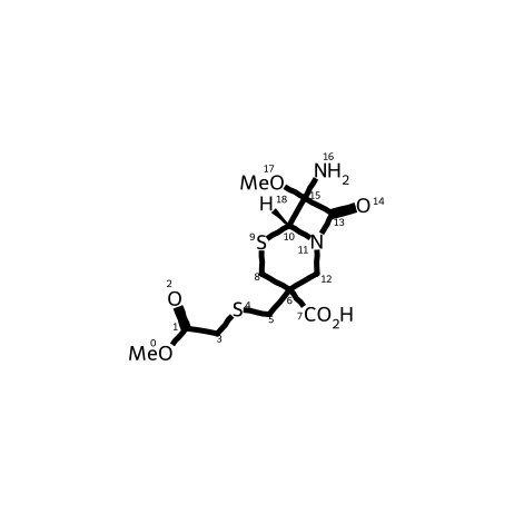 COC(=O)CSCC1(C(=O)O)CS[C@H]2N(C1)C(=O)C2(N)OC